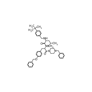 CC(C)CC(NCc1ccc(C(C)(C)C)cc1)C(=O)NC(Cc1ccc(OCc2ccccc2)cc1)C(=O)N1CCN(Cc2ccccc2)CC1